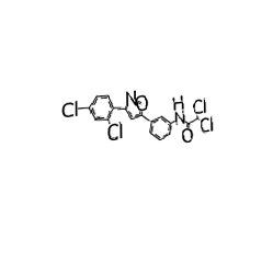 O=C(Nc1cccc(-c2cc(-c3ccc(Cl)cc3Cl)no2)c1)C(Cl)Cl